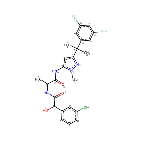 CC(NC(=O)C(O)c1cccc(Cl)c1)C(=O)Nc1cc(C(C)(C)c2cc(F)cc(F)c2)nn1C(C)(C)C